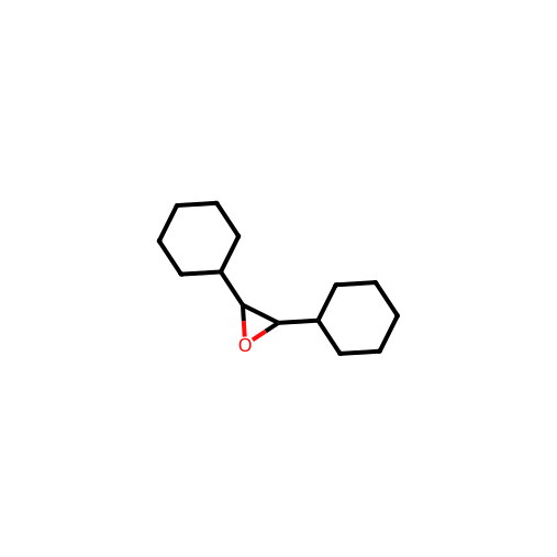 C1CCC(C2OC2C2CCCCC2)CC1